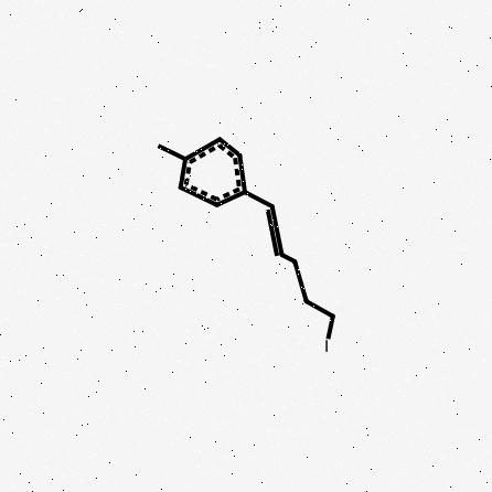 Cc1ccc(C=CCCCI)cc1